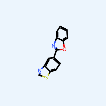 c1ccc2oc(-c3ccc4scnc4c3)nc2c1